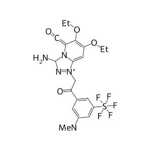 CCOC1=C(OCC)C(=C=O)N2C(=C1)[N+](CC(=O)c1cc(NC)cc(S(F)(F)(F)(F)F)c1)=NC2N